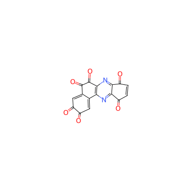 O=c1cc2c(=O)c(=O)c3nc4c(=O)ccc(=O)c4nc3c2cc1=O